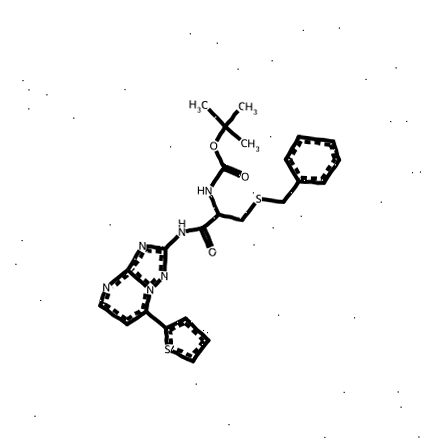 CC(C)(C)OC(=O)NC(CSCc1ccccc1)C(=O)Nc1nc2nccc(-c3cccs3)n2n1